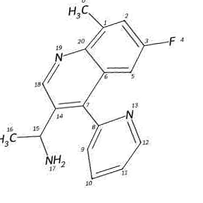 Cc1cc(F)cc2c(-c3ccccn3)c(C(C)N)cnc12